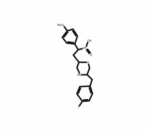 COc1ccc(C(CC2CNC(Cc3ccc(I)cc3)CO2)[PH](=O)O)cc1